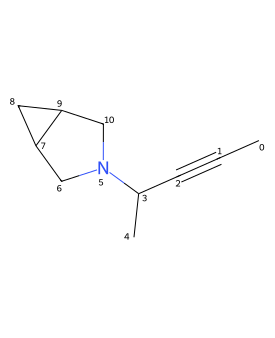 CC#CC(C)N1CC2CC2C1